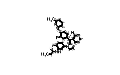 C=CC(=O)Nc1cc(-n2ccn3c4ncnc(N)c4c(-c4ccc(Oc5cccc(C)n5)c(F)c4)c23)ccc1F